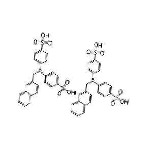 O=S(=O)(O)c1ccc(P(Cc2[c]c3ccccc3cc2)c2ccc(S(=O)(=O)O)cc2)cc1.O=S(=O)(O)c1ccc(P(Cc2[c]c3ccccc3cc2)c2ccc(S(=O)(=O)O)cc2)cc1